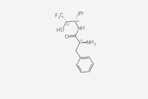 CC(C)[C@H](NC(=O)[C@@H](N)Cc1ccccc1)[C@H](O)C(F)(F)F